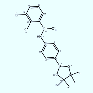 CC1(C)OB(c2ccc(N[S+]([O-])c3cccc(Cl)c3Cl)cc2)OC1(C)C